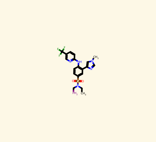 CCN(CP)S(=O)(=O)c1ccc(Nc2ccc(C(F)(F)F)cn2)c(-c2cn(C)cn2)c1